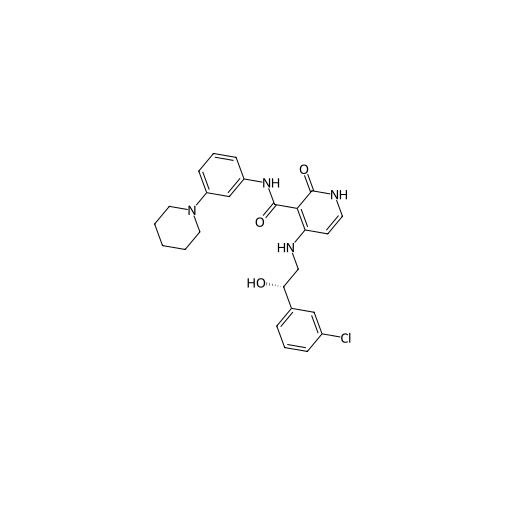 O=C(Nc1cccc(N2CCCCC2)c1)c1c(NC[C@@H](O)c2cccc(Cl)c2)cc[nH]c1=O